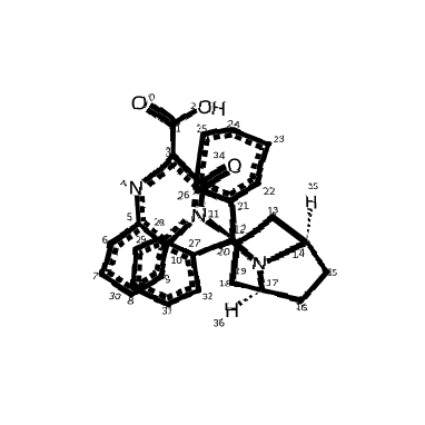 O=C(O)c1nc2ccccc2n([C@H]2C[C@H]3CC[C@@H](C2)N3C(c2ccccc2)c2ccccc2)c1=O